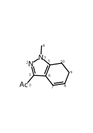 CC(=O)c1nn(C)c2c1C=CCC2